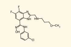 COCCCNCc1nc2c(F)c(F)cc(/C(=N/O)Nc3cccc(Cl)c3)c2[nH]1